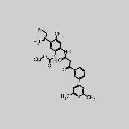 Cc1cc(-c2cccc(C(=O)CC(=O)Nc3cc(C(F)(F)F)c(N(C)CC(C)C)cc3NC(=O)OC(C)(C)C)c2)cc(C)n1